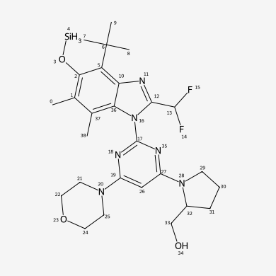 Cc1c(O[SiH3])c(C(C)(C)C)c2nc(C(F)F)n(-c3nc(N4CCOCC4)cc(N4CCCC4CO)n3)c2c1C